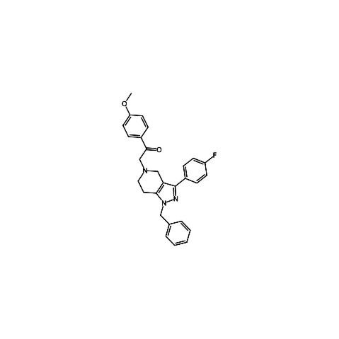 COc1ccc(C(=O)CN2CCc3c(c(-c4ccc(F)cc4)nn3Cc3ccccc3)C2)cc1